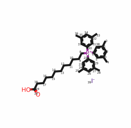 Cc1cc(C)cc([P+](CCCCCCCCCCCC(=O)O)(c2cc(C)cc(C)c2)c2cc(C)cc(C)c2)c1.[I-]